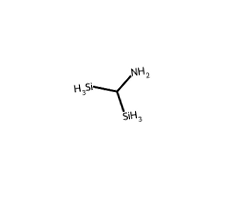 NC([SiH3])[SiH3]